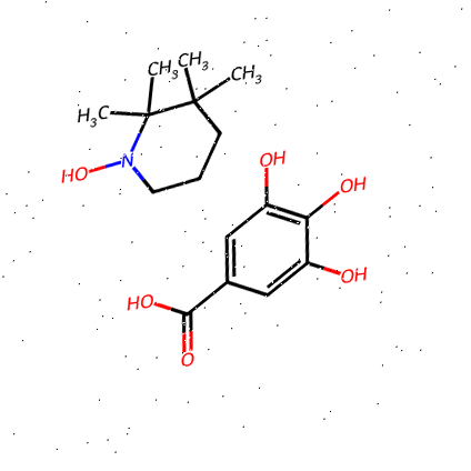 CC1(C)CCCN(O)C1(C)C.O=C(O)c1cc(O)c(O)c(O)c1